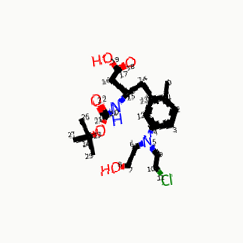 Cc1ccc(N(CCO)CCCl)cc1CC(CC(=O)O)NC(=O)OC(C)(C)C